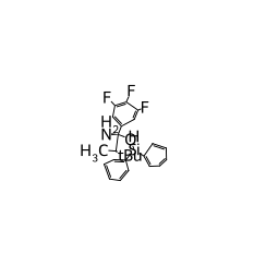 C[C@H](C(C)(C)C)[C@@](N)(O[SiH](c1ccccc1)c1ccccc1)c1cc(F)c(F)c(F)c1